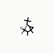 CC(C(F)(F)F)C1(C)CC1CC(C)(C)C